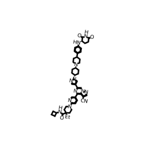 CCC1(C(=O)NC2CCC2)CCN(c2ccc(-c3nc(-c4cnn([C@H]5CC[C@H](N6CCC(c7ccc(N[C@H]8CCC(=O)NC8=O)cc7)CC6)CC5)c4)cn4ncc(C#N)c34)cn2)CC1